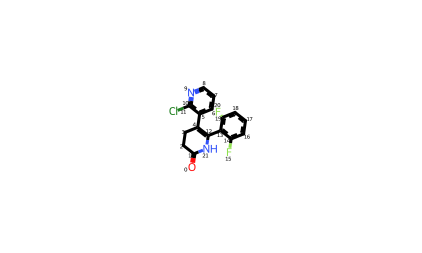 O=C1CCC(c2cccnc2Cl)=C(c2c(F)cccc2F)N1